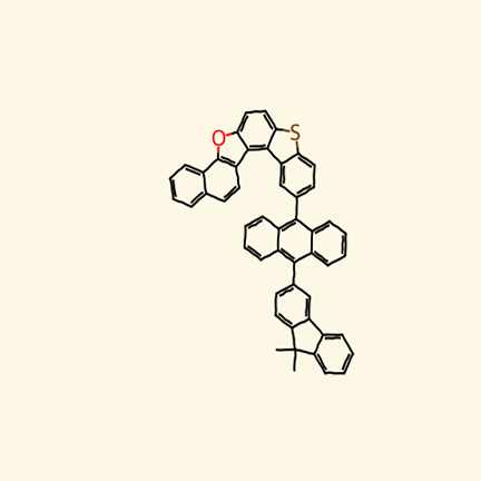 CC1(C)c2ccccc2-c2cc(-c3c4ccccc4c(-c4ccc5sc6ccc7oc8c9ccccc9ccc8c7c6c5c4)c4ccccc34)ccc21